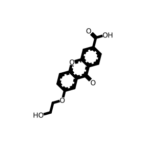 O=C(O)c1ccc2c(=O)c3cc(OCCO)ccc3oc2c1